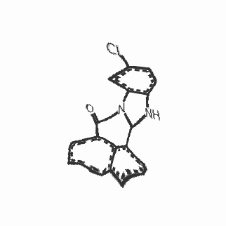 O=C1c2cccc3cccc(c23)C2Nc3ccc(Cl)cc3N12